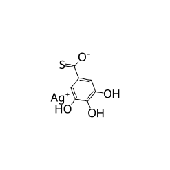 [Ag+].[O-]C(=S)c1cc(O)c(O)c(O)c1